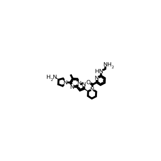 Cc1cn2nc([C@@H]3CCCCN3C(=O)c3cccc(NCN)n3)cc2nc1N1CC[C@H](N)C1